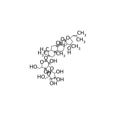 CC(C)=CC1CC(C)(O)C2C3CCC4[C@@]5(C)CC[C@H](O[C@@H]6OC(CO)[C@@H](O)C(OC7OC(CO)[C@@H](O)[C@@H](O)C7O)[C@@H]6O)C(C)(C)C5CC[C@@]4(C)[C@@]34CO[C@@]2(C4)O1